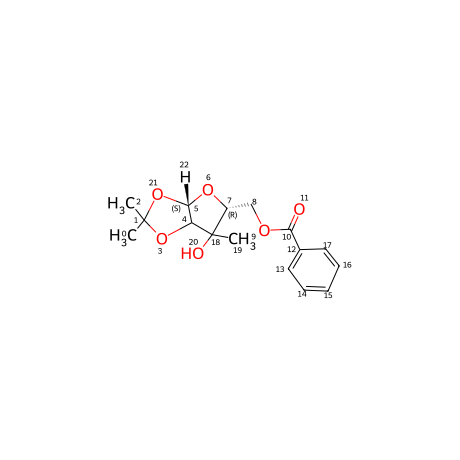 CC1(C)OC2[C@@H](O[C@H](COC(=O)c3ccccc3)C2(C)O)O1